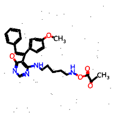 COc1ccc(-c2c(-c3ccccc3)oc3ncnc(NCCCCCNOC(=O)C(C)=O)c23)cc1